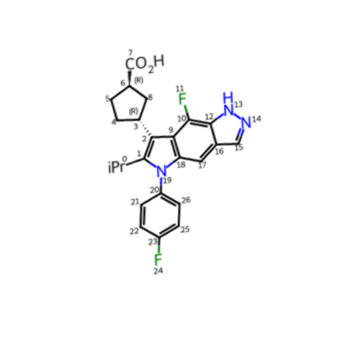 CC(C)c1c([C@@H]2CC[C@@H](C(=O)O)C2)c2c(F)c3[nH]ncc3cc2n1-c1ccc(F)cc1